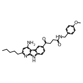 CCCCCc1cc(N)c2c(n1)[nH]c1ccc(C(=O)CCC(=O)NCc3ccc(OC)cc3)cc12